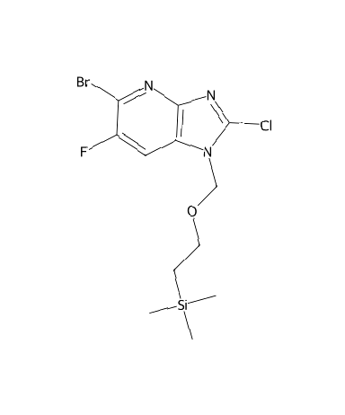 C[Si](C)(C)CCOCn1c(Cl)nc2nc(Br)c(F)cc21